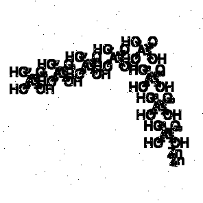 O=[As](O)(O)O.O=[As](O)(O)O.O=[As](O)(O)O.O=[As](O)(O)O.O=[As](O)(O)O.O=[As](O)(O)O.O=[As](O)(O)O.O=[As](O)(O)O.[Zn].[Zn]